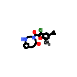 O=C1CCC2CCC(C2)NCCN(C(=O)c2oc3c(C(F)(F)F)cc(C4CC4)cc3c2Cl)C1